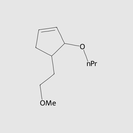 CCCOC1C=CCC1CCOC